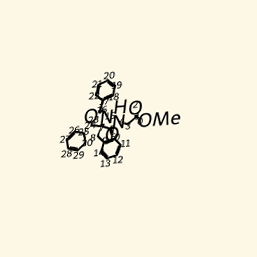 COC(=O)CNC(=O)[C@@]1(Cc2ccccc2)N=C(c2ccccc2)O[C@H]1C1C=CC=CC1